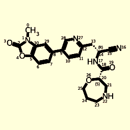 Cn1c(=O)oc2ccc(-c3ccc(C[C@H](C#N)NC(=O)[C@@H]4CNCCCO4)nc3)cc21